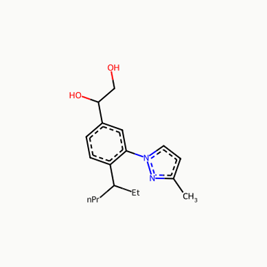 CCCC(CC)c1ccc(C(O)CO)cc1-n1ccc(C)n1